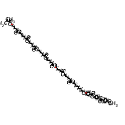 C=C(C)C(=O)OCCCCCC(=O)OCCCCCC(=O)OCCCCCC(=O)OCCCCCC(=O)OCCCCCC(=O)OCCCCCC(=O)OCCCCCC(=O)OCCCCCCCCOc1ccc(C(=O)Oc2ccc(OC(=O)c3ccc(OC)cc3)cc2)cc1